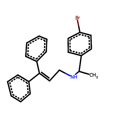 CC(NCC=C(c1ccccc1)c1ccccc1)c1ccc(Br)cc1